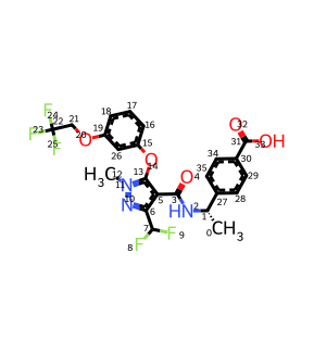 C[C@H](NC(=O)c1c(C(F)F)nn(C)c1Oc1cccc(OCC(F)(F)F)c1)c1ccc(C(=O)O)cc1